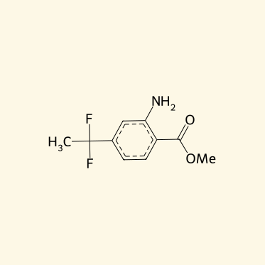 COC(=O)c1ccc(C(C)(F)F)cc1N